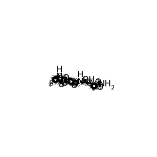 NS(=O)(=O)c1cccc(OCC(O)CN[C@H]2COC3(CCN(S(=O)(=O)c4c[nH]c5ccc(F)cc5c4=O)CC3)C2)c1